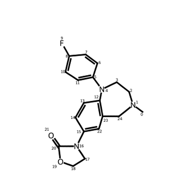 CN1CCN(c2ccc(F)cc2)c2ccc(N3CCOC3=O)cc2C1